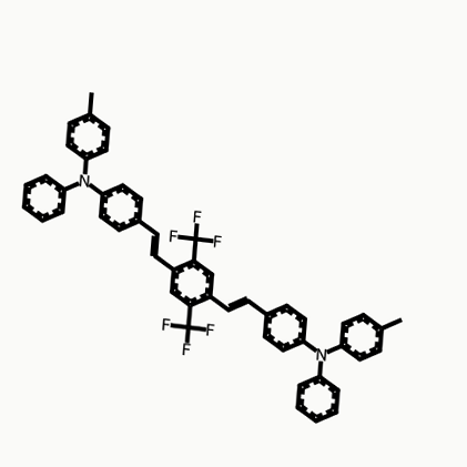 Cc1ccc(N(c2ccccc2)c2ccc(C=Cc3cc(C(F)(F)F)c(C=Cc4ccc(N(c5ccccc5)c5ccc(C)cc5)cc4)cc3C(F)(F)F)cc2)cc1